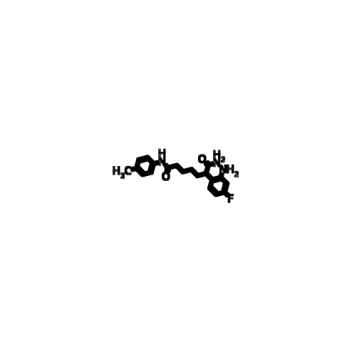 Cc1ccc(NC(=O)CCCCC(C(N)=O)c2ccc(F)cc2N)cc1